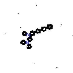 C1=CC(c2ccccc2)CC=C1c1ccc(-c2ccc3c(c2)c2ccc(N(c4ccccc4)c4ccccc4)cc2n3-c2ccccc2)cc1